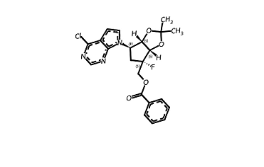 CC1(C)O[C@H]2[C@H](n3ccc4c(Cl)ncnc43)C[C@](F)(COC(=O)c3ccccc3)[C@H]2O1